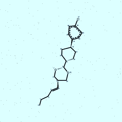 CCCC=C[C@H]1CO[C@H]([C@H]2CC[C@H](c3ccc(Cl)cc3)CC2)OC1